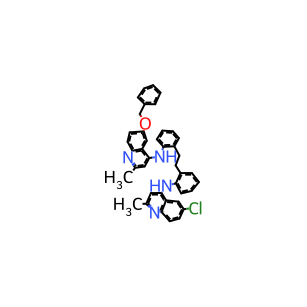 Cc1cc(Nc2ccccc2CCc2ccccc2Nc2cc(C)nc3ccc(OCc4ccccc4)cc23)c2cc(Cl)ccc2n1